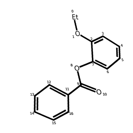 CCOc1ccccc1OC(=O)c1ccccc1